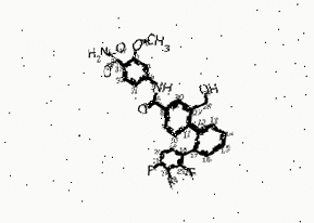 COc1cc(NC(=O)c2ccc(-c3ccccc3-c3ccc(F)c(F)c3F)c(CO)c2)ccc1S(N)(=O)=O